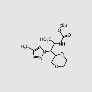 Cc1cnn(C(C2COCCO2)C(NC(=O)OC(C)(C)C)C(=O)O)c1